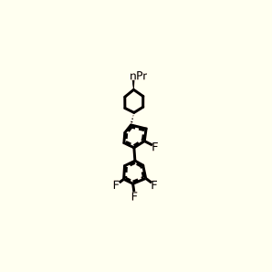 CCC[C@H]1CC[C@H](c2ccc(-c3cc(F)c(F)c(F)c3)c(F)c2)CC1